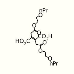 CCCOCCOC(=O)C/C(C(=O)O)=C(/CC(=O)OCCOCCC)C(=O)O